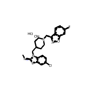 C/N=c1/sc2cc(Cl)ccc2n1CC1CCN(Cc2noc3cc(F)ccc23)CC1.Cl.Cl